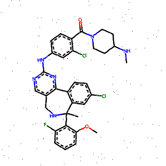 CNC1CCN(C(=O)c2ccc(Nc3ncc4c(n3)-c3ccc(Cl)cc3C(C)(c3c(F)cccc3OC)NC4)cc2Cl)CC1